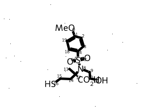 COc1ccc(S(=O)(=O)N(CCO)[C@@](C)(CCS)C(=O)O)cc1